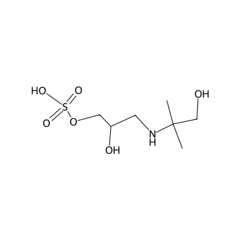 CC(C)(CO)NCC(O)COS(=O)(=O)O